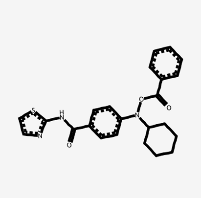 O=C(Nc1nccs1)c1ccc(N(OC(=O)c2ccccc2)C2CCCCC2)cc1